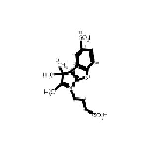 CC1=[N+](CCCS(=O)(=O)O)c2sc3ccc(S(=O)(=O)O)cc3c2C1(C)C